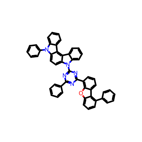 c1ccc(-c2nc(-c3cccc4c3oc3cccc(-c5ccccc5)c34)nc(-n3c4ccccc4c4c5c6ccccc6n(-c6ccccc6)c5ccc43)n2)cc1